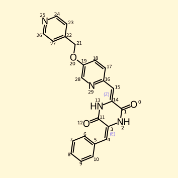 O=c1[nH]/c(=C/c2ccccc2)c(=O)[nH]/c1=C\c1ccc(OCc2ccncc2)cn1